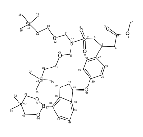 COC(=O)CC(CS(=O)(=O)N(COCC[Si](C)(C)C)COCC[Si](C)(C)C)c1ccc(O[C@@H]2CCc3c(B4OCC(C)(C)CO4)cccc32)cc1